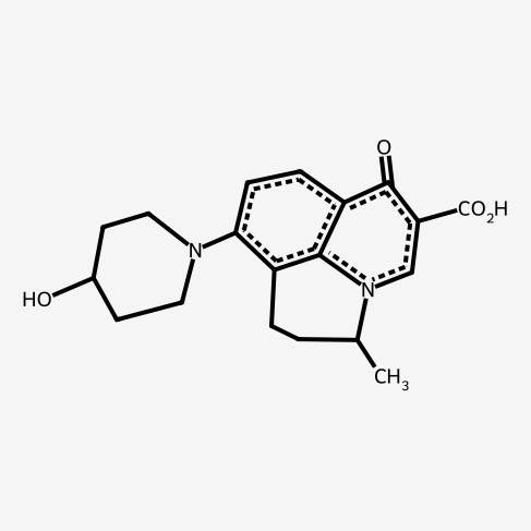 CC1CCc2c(N3CCC(O)CC3)ccc3c(=O)c(C(=O)O)cn1c23